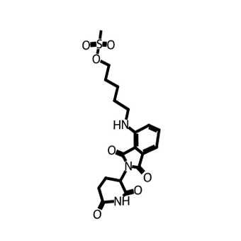 CS(=O)(=O)OCCCCCNc1cccc2c1C(=O)N(C1CCC(=O)NC1=O)C2=O